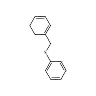 [c]1ccccc1SCC1=CC=CCC1